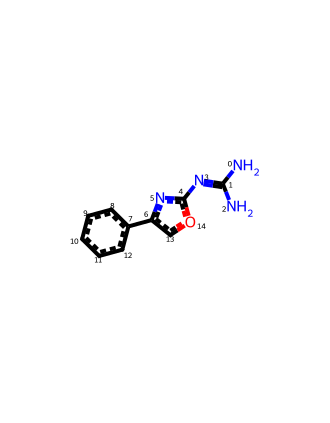 NC(N)=Nc1nc(-c2ccccc2)co1